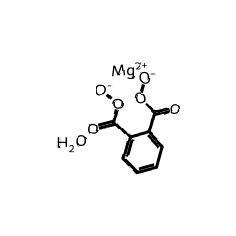 O.O=C(O[O-])c1ccccc1C(=O)O[O-].[Mg+2]